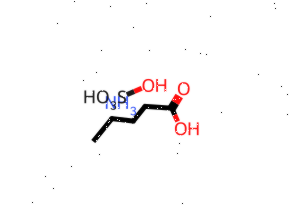 CCCCC(=O)O.N.O=S(=O)(O)O